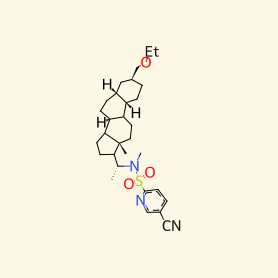 CCOC[C@H]1CC[C@@H]2C3CC[C@@]4(C)C(CCC4[C@@H](C)N(C)S(=O)(=O)c4ccc(C#N)cn4)[C@@H]3CC[C@@H]2C1